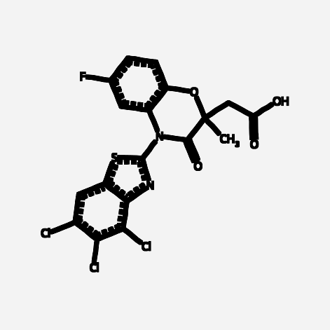 CC1(CC(=O)O)Oc2ccc(F)cc2N(c2nc3c(Cl)c(Cl)c(Cl)cc3s2)C1=O